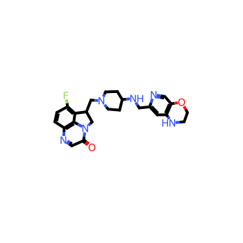 O=c1cnc2ccc(F)c3c2n1CC3CN1CCC(NCc2cc3c(cn2)OCCN3)CC1